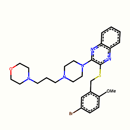 COc1ccc(Br)cc1CSc1nc2ccccc2nc1N1CCN(CCCN2CCOCC2)CC1